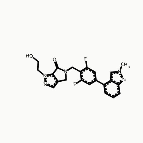 Cn1cc2c(-c3cc(F)c(CN4Cc5cnn(CCO)c5C4=O)c(F)c3)cccc2n1